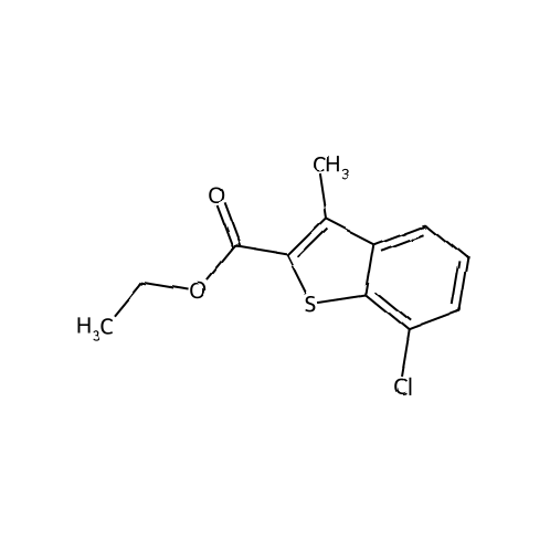 CCOC(=O)c1sc2c(Cl)cccc2c1C